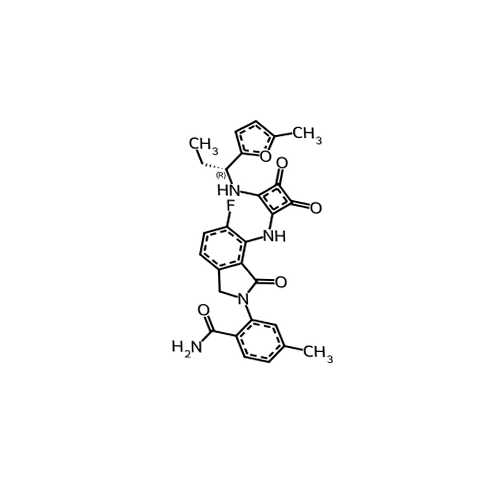 CC[C@@H](Nc1c(Nc2c(F)ccc3c2C(=O)N(c2cc(C)ccc2C(N)=O)C3)c(=O)c1=O)c1ccc(C)o1